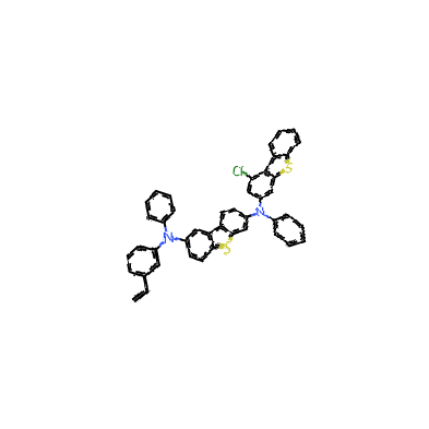 C=Cc1cccc(N(c2ccccc2)c2ccc3sc4cc(N(c5ccccc5)c5cc(Cl)c6c(c5)sc5ccccc56)ccc4c3c2)c1